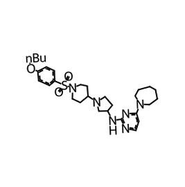 CCCCOc1ccc(S(=O)(=O)N2CCC(N3CCC(Nc4nccc(N5CCCCCC5)n4)C3)CC2)cc1